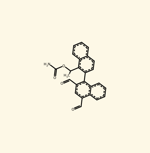 CC(OC(N)=O)c1c(-c2c(C=O)cc(C=O)c3ccccc23)ccc2ccccc12